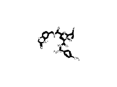 Cc1ccc([C@H](C)NC(=O)c2cc(C(=O)NCc3ccc4c(c3)NC(=O)CO4)nc3c(F)cnn23)cc1